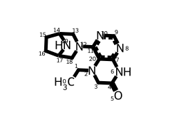 CCN1CC(=O)Nc2ncnc(N3CC4CCC(C3)N4)c21